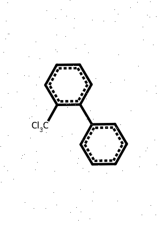 ClC(Cl)(Cl)c1ccccc1-c1ccccc1